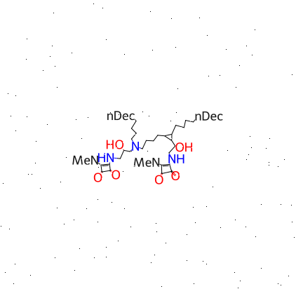 CCCCCCCCCCCCCCC1C(CCCCN(CCCCCCCCCCCCCC)CC(O)CNc2c(NC)c(=O)c2=O)C1C(O)CNc1c(NC)c(=O)c1=O